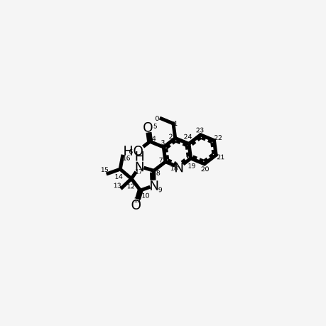 CCc1c(C(=O)O)c(C2=NC(=O)C(C)(C(C)C)N2)nc2ccccc12